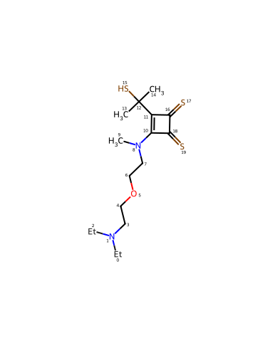 CCN(CC)CCOCCN(C)c1c(C(C)(C)S)c(=S)c1=S